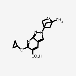 CC12CC(n3cc4cc(C(=O)O)c(OC5CC5)nc4n3)(CO1)C2